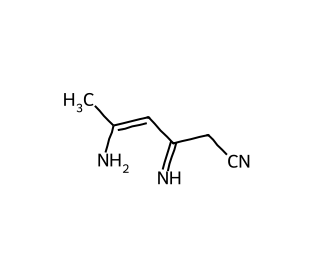 C/C(N)=C/C(=N)CC#N